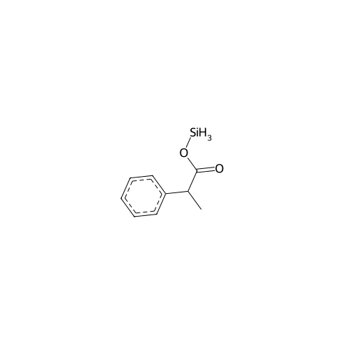 CC(C(=O)O[SiH3])c1ccccc1